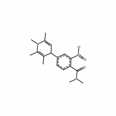 CC1=CC(c2ccc(C(=O)N(C)C)c([N+](=O)[O-])c2)C(C)=C(C)N1C